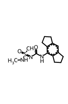 CNS(C)(=O)=NC(=O)Nc1c2c(cc3c1CCC3)CCC2